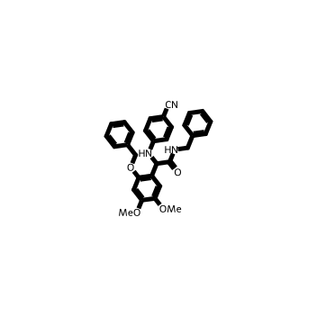 COc1cc(OCc2ccccc2)c(C(Nc2ccc(C#N)cc2)C(=O)NCc2ccccc2)cc1OC